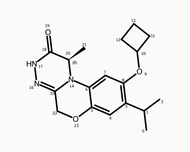 CC(C)c1cc2c(cc1OC1CCC1)N1C(=NNC(=O)[C@H]1C)CO2